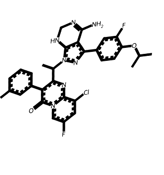 CC(C)Oc1ccc(-c2nn(C(C)c3nc4c(Cl)cc(F)cn4c(=O)c3-c3cccc(F)c3)c3c2C(N)=NCN3)cc1F